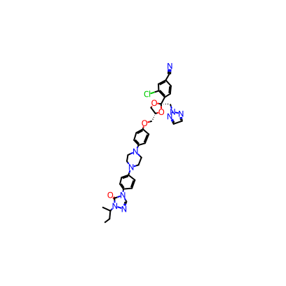 CCC(C)n1ncn(-c2ccc(N3CCN(c4ccc(OC[C@@H]5CO[C@@](Cn6nccn6)(c6ccc(C#N)cc6Cl)O5)cc4)CC3)cc2)c1=O